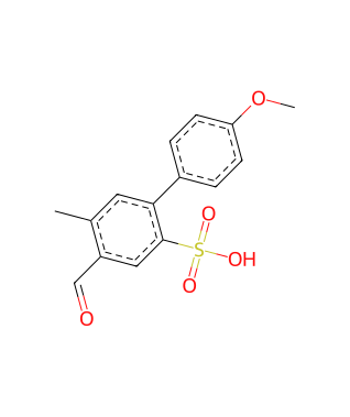 COc1ccc(-c2cc(C)c(C=O)cc2S(=O)(=O)O)cc1